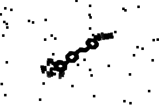 CCCCCCC1CCC(/C=C/C2CCC(c3cc(F)c(C(F)(F)F)c(F)c3)CC2)CC1